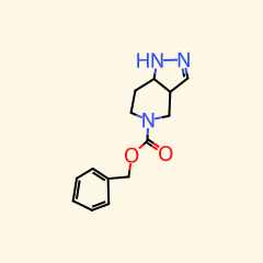 O=C(OCc1ccccc1)N1CCC2NN=CC2C1